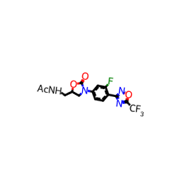 CC(=O)NCC1CN(c2ccc(-c3noc(C(F)(F)F)n3)c(F)c2)C(=O)O1